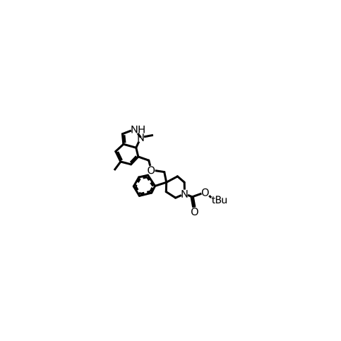 CC1=CC2=CNN(C)C2C(COCC2(c3ccccc3)CCN(C(=O)OC(C)(C)C)CC2)=C1